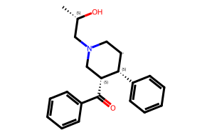 C[C@H](O)CN1C[CH][C@H](c2ccccc2)[C@H](C(=O)c2ccccc2)C1